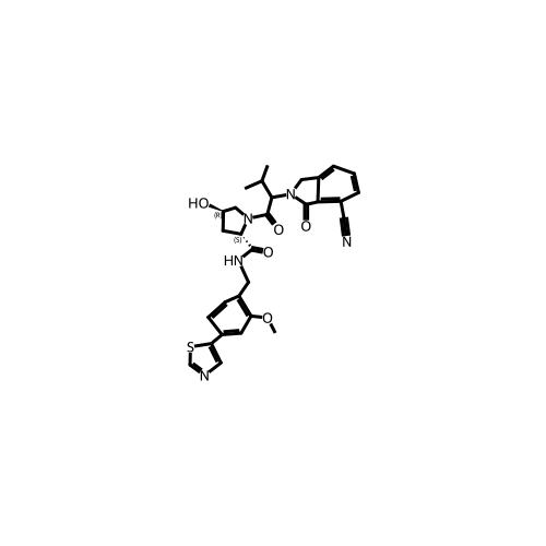 COc1cc(-c2cncs2)ccc1CNC(=O)[C@@H]1C[C@@H](O)CN1C(=O)C(C(C)C)N1Cc2cccc(C#N)c2C1=O